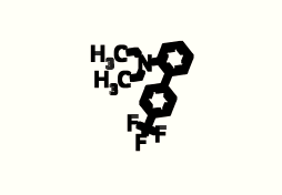 CCN(CC)c1ccccc1-c1ccc(C(F)(F)F)cc1